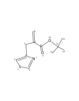 C=C(Cc1cscn1)C(=O)OC(C)(C)C